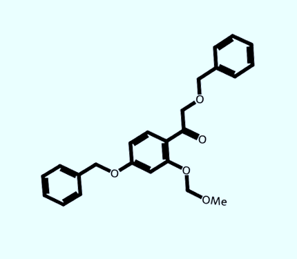 COCOc1cc(OCc2ccccc2)ccc1C(=O)COCc1ccccc1